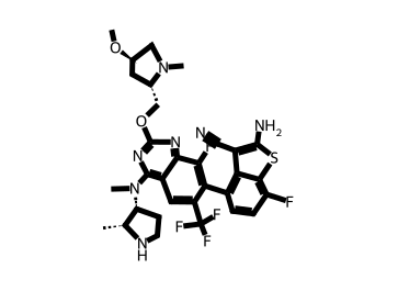 CO[C@@H]1C[C@@H](COc2nc(N(C)[C@@H]3CCN[C@@H]3C)c3cc(C(F)(F)F)c(-c4ccc(F)c5sc(N)c(C#N)c45)c(F)c3n2)N(C)C1